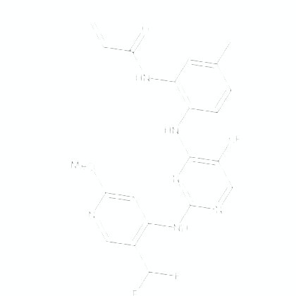 C=CC(=O)Nc1cc(C)ccc1Nc1nc(Nc2cc(OC)ncc2C(F)F)ncc1C(F)(F)F